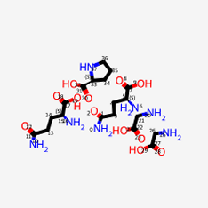 NC(=O)CC[C@H](N)C(=O)O.NC(=O)CC[C@H](N)C(=O)O.NCC(=O)O.NCC(=O)O.O=C(O)[C@@H]1CCCN1